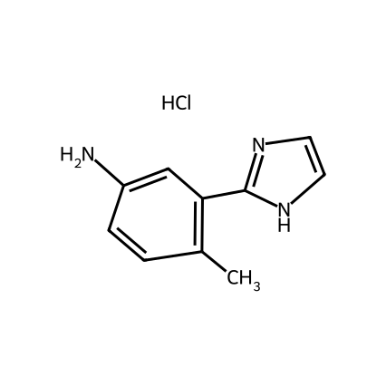 Cc1ccc(N)cc1-c1ncc[nH]1.Cl